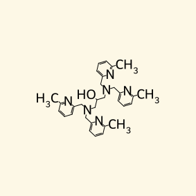 Cc1cccc(CN(Cc2cccc(C)n2)CC(O)CN(Cc2cccc(C)n2)Cc2cccc(C)n2)n1